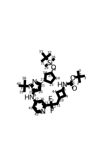 CC(C)(C)OC(=O)NC1CC(CC(F)(F)c2cc(Nc3cc([C@H]4CC[C@@H](O[Si](C)(C)C(C)(C)C)C4)nn3C(C)(C)C)ccn2)C1